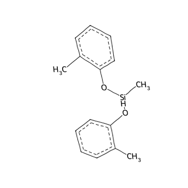 Cc1ccccc1O[SiH](C)Oc1ccccc1C